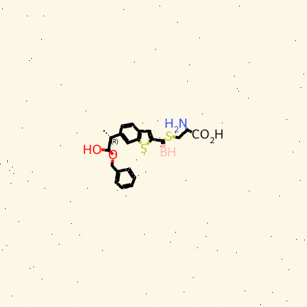 B=C(SCC(N)C(=O)O)c1cc2ccc([C@@H](C)C(O)OCc3ccccc3)cc2s1